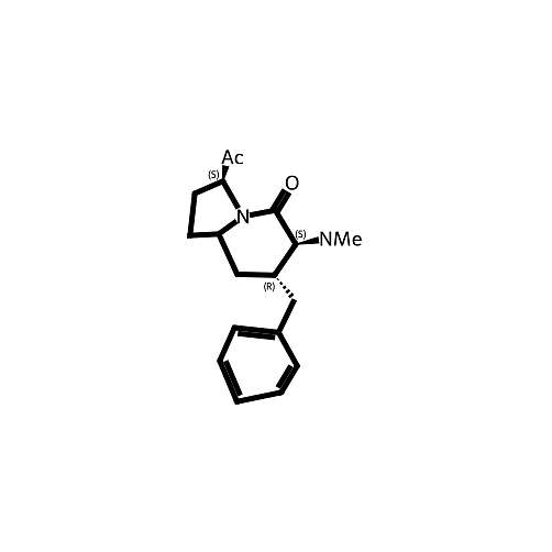 CN[C@@H]1C(=O)N2C(CC[C@H]2C(C)=O)C[C@H]1Cc1ccccc1